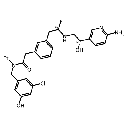 CCN(Cc1cc(O)cc(Cl)c1)C(=O)Cc1cccc(C[C@@H](C)NC[C@@H](O)c2ccc(N)nc2)c1